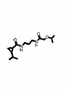 CC(C)OCC(=O)NCCCNC(=O)C1CC1C(C)C